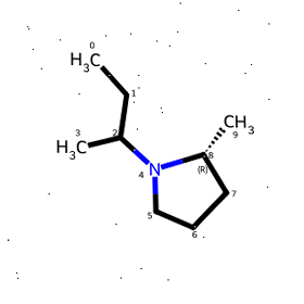 CCC(C)N1CCC[C@H]1C